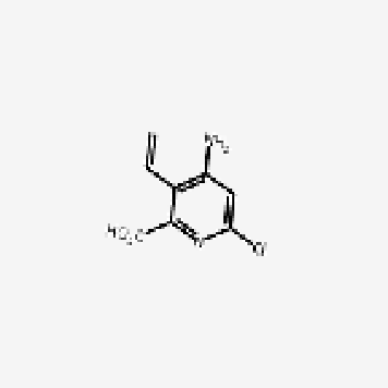 C=Cc1c(N)cc(Cl)nc1C(=O)O